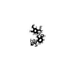 CCc1cc(C(F)F)c(OCc2c(NC(=S)OC)cccc2OC)cc1C